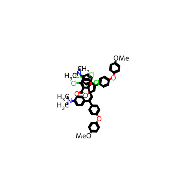 COc1ccc(Oc2ccc(/C(=C/C3(/C=C(/c4ccc(Oc5ccc(OC)cc5)cc4)c4ccc(N(C)C)cc4)OC(=O)c4c(Cl)c(Cl)c(Cl)c(Cl)c43)c3ccc(N(C)C)cc3)cc2)cc1